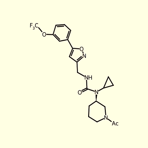 CC(=O)N1CCC[C@@H](N(C(=O)NCc2cc(-c3cccc(OC(F)(F)F)c3)on2)C2CC2)C1